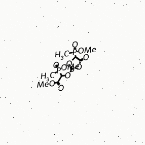 COC(=O)C(OB1OC(=O)C(P(C)(=O)OC)O1)P(C)(=O)OC